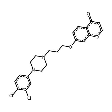 O=c1ccoc2cc(OCCCN3CCN(c4ccc(Cl)c(Cl)c4)CC3)ccc12